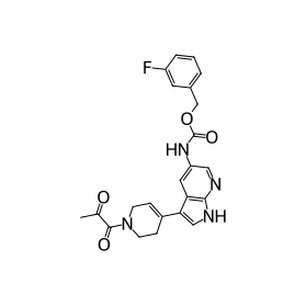 CC(=O)C(=O)N1CC=C(c2c[nH]c3ncc(NC(=O)OCc4cccc(F)c4)cc23)CC1